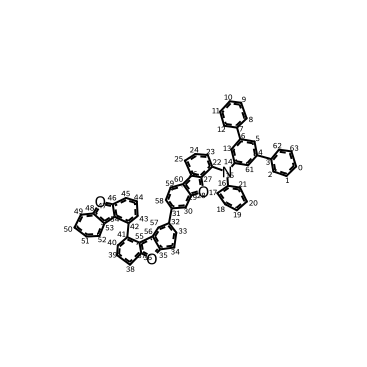 c1ccc(-c2cc(-c3ccccc3)cc(N(c3ccccc3)c3cccc4c3oc3cc(-c5ccc6oc7cccc(-c8cccc9oc%10ccccc%10c89)c7c6c5)ccc34)c2)cc1